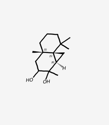 CC1(O)C(O)C[C@]2(C)CCCC(C)(C)[C@@]23C[C@@H]13